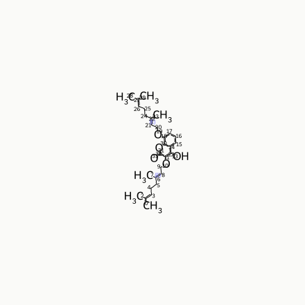 CC(C)=CCC/C(C)=C/COc1c(O)c2cccc(OC/C=C(\C)CCC=C(C)C)c2oc1=O